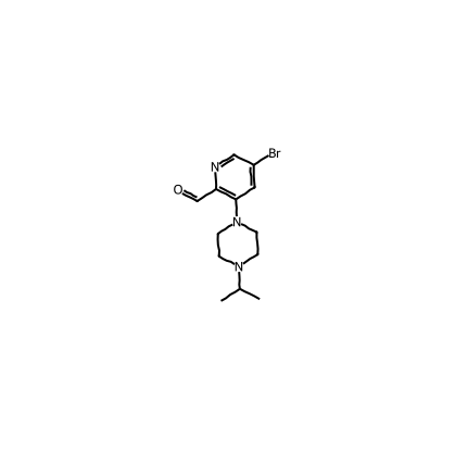 CC(C)N1CCN(c2cc(Br)cnc2C=O)CC1